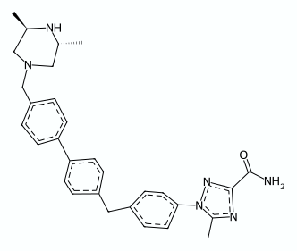 Cc1nc(C(N)=O)nn1-c1ccc(Cc2ccc(-c3ccc(CN4C[C@@H](C)N[C@H](C)C4)cc3)cc2)cc1